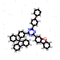 c1ccc(-c2ccc(-c3nc(-c4cccc(C5(c6ccccc6)c6ccccc6-c6ccccc65)c4)nc(-c4ccc5c(c4)oc4ccccc45)n3)cc2)cc1